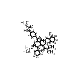 CCC(=O)Nc1ccc(-c2sc3c(c2CN(C)Cc2ccccc2)c(=O)c(C(=O)C(C)C)cn3Cc2c(F)cccc2F)cc1.Cl